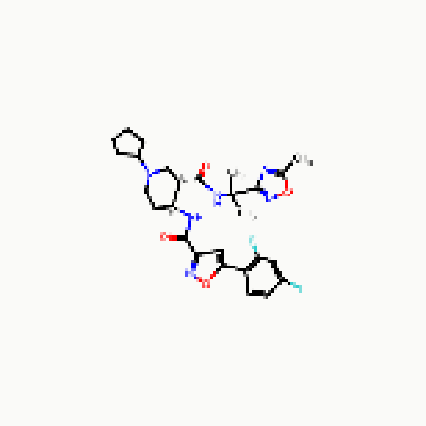 Cc1nc(C(C)(C)NC(=O)[C@H]2CN(C3CCCC3)CC[C@@H]2NC(=O)c2cc(-c3ccc(F)cc3F)on2)no1